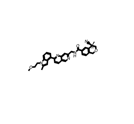 COCCn1c(C)cc2c(-c3ccc4cnc(CNC(=O)c5ccc6c(c5)[C@](C)(C#N)COC6)cc4n3)cccc21